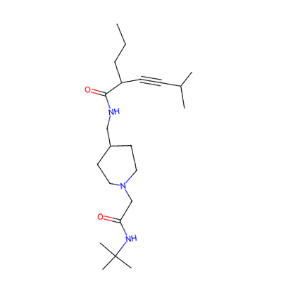 CCCC(C#CC(C)C)C(=O)NCC1CCN(CC(=O)NC(C)(C)C)CC1